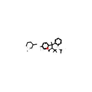 CC(=O)N1c2cc[c]cc2C(C)(c2ccc(OCC3CCCN(C)C3)cc2)C(C(N)=O)C1(C)C